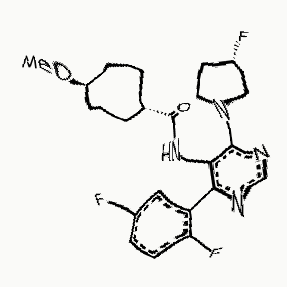 CO[C@H]1CC[C@H](C(=O)Nc2c(-c3cc(F)ccc3F)ncnc2N2CC[C@H](F)C2)CC1